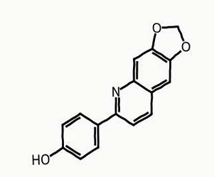 Oc1ccc(-c2ccc3cc4c(cc3n2)OCO4)cc1